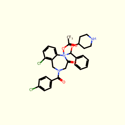 O=C(c1ccc(Cl)cc1)N1CC(=O)[N+](OC(=O)C(F)(F)F)(C(OC2CCNCC2)c2ccccc2)c2cccc(Cl)c2C1